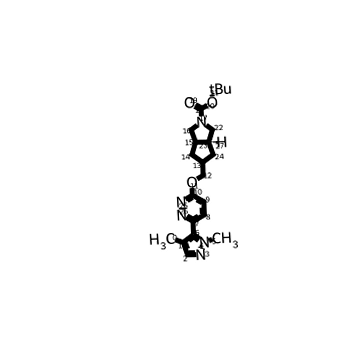 Cc1cnn(C)c1-c1ccc(OCC2CC3CN(C(=O)OC(C)(C)C)C[C@H]3C2)nn1